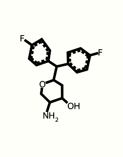 NC1COC(C(c2ccc(F)cc2)c2ccc(F)cc2)CC1O